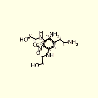 NCCc1cc(NCCO)c([N+](=O)[O-])c(NCCO)c1N